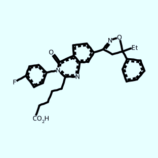 CCC1(c2ccccc2)CC(c2ccc3c(=O)n(-c4ccc(F)cc4)c(CCCCC(=O)O)nc3c2)=NO1